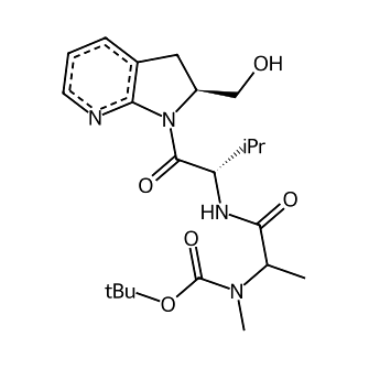 CC(C)[C@H](NC(=O)C(C)N(C)C(=O)OC(C)(C)C)C(=O)N1c2ncccc2C[C@H]1CO